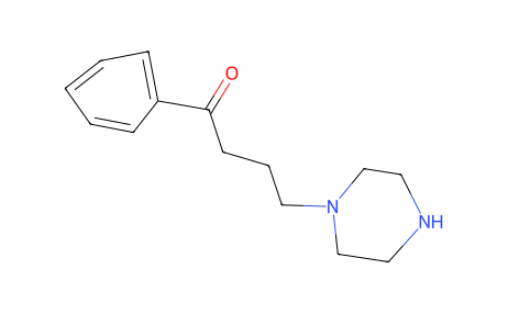 O=C(CCCN1CCNCC1)c1ccccc1